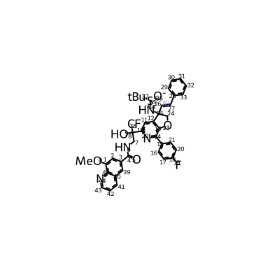 COc1cc(C(=O)NCC(O)(c2cc3c(c(-c4ccc(F)cc4)n2)OCC3(/C=C/c2ccccc2)N[S+]([O-])C(C)(C)C)C(F)(F)F)cc2cccnc12